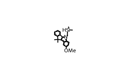 COc1ccc2c(c1)c1c(n2CC[SiH](C)C)-c2ccccc2C1(C)C